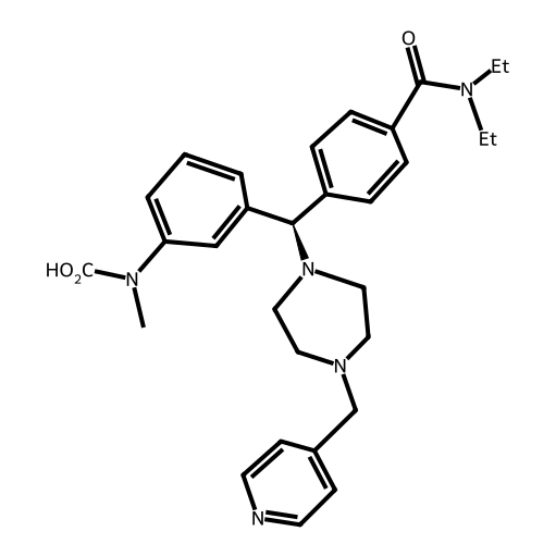 CCN(CC)C(=O)c1ccc([C@H](c2cccc(N(C)C(=O)O)c2)N2CCN(Cc3ccncc3)CC2)cc1